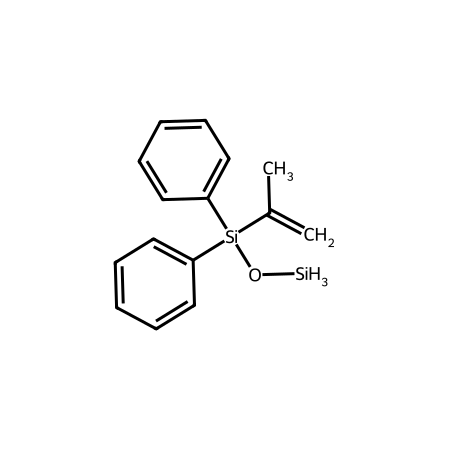 C=C(C)[Si](O[SiH3])(c1ccccc1)c1ccccc1